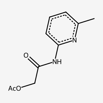 CC(=O)OCC(=O)Nc1cccc(C)n1